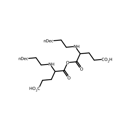 CCCCCCCCCCCCNC(CCC(=O)O)C(=O)OC(=O)C(CCC(=O)O)NCCCCCCCCCCCC